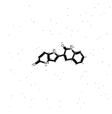 O=c1ccc2[nH]c(-c3cc4ccccc4[nH]c3=O)cc2[nH]1